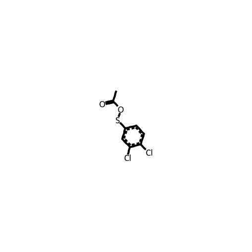 CC(=O)OSc1ccc(Cl)c(Cl)c1